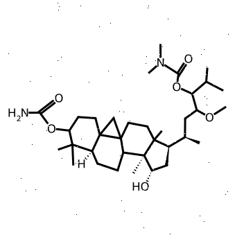 COC(C[C@@H](C)[C@H]1C[C@H](O)[C@@]2(C)C3CC[C@H]4C(C)(C)C(OC(N)=O)CCC45CC35CCC12C)C(OC(=O)N(C)C)C(C)C